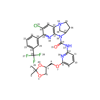 CC1(C)OC[C@H](COc2cccc(NC(=O)N3c4nc(-c5cccc(C(F)(F)F)c5)c(Cl)cc4N4CCC3C4)n2)O1